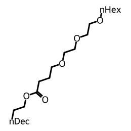 CCCCCCCCCCCCOC(=O)CCCOCCOCCOCCCCCC